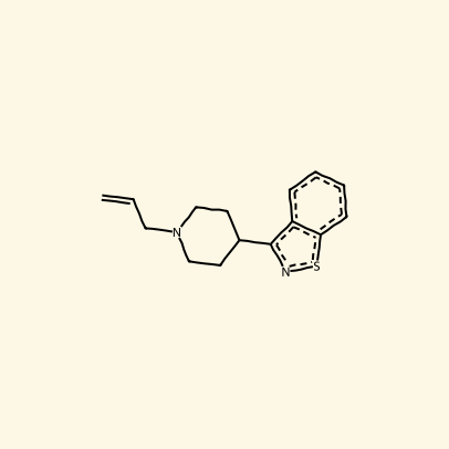 C=CCN1CCC(c2nsc3ccccc23)CC1